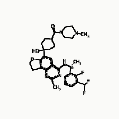 Cc1nc(N[C@H](C)c2cccc(C(F)F)c2F)c2cc(C3(O)CCC(C(=O)N4CCN(C)CC4)CC3)c3c(c2n1)CCO3